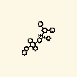 c1ccc(-c2cc(-c3ccccc3)cc(-c3nc4cc(-c5c6ccccc6c(-c6ccc7ccccc7c6)c6ccccc56)ccc4n3-c3ccccc3)c2)cc1